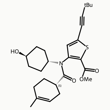 COC(=O)c1sc(C#CC(C)(C)C)cc1N(C(=O)[C@@H]1CC=C(C)CC1)[C@H]1CC[C@H](O)CC1